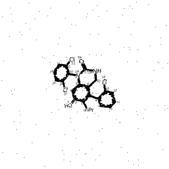 CCCc1c(O)cc2c(c1-c1ccccc1Cl)CNC(=O)N2c1c(Cl)cccc1Cl